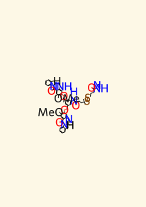 C=NNC(=O)CCCSSC(C)(C)CCC(=O)Nc1cc(COc2cc3c(cc2OC)C(=O)N2c4ccccc4C[C@H]2C=N3)cc(COc2cc3c(cc2OC)C(=O)N2c4ccccc4C[C@H]2CN3)c1